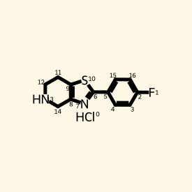 Cl.Fc1ccc(-c2nc3c(s2)CCNC3)cc1